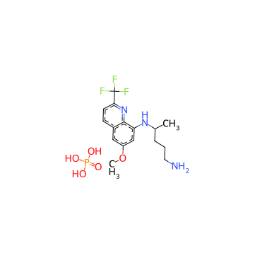 COc1cc(NC(C)CCCN)c2nc(C(F)(F)F)ccc2c1.O=P(O)(O)O